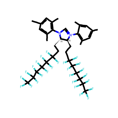 Cc1cc(C)c(N2C=[N+](c3c(C)cc(C)cc3C)[C@@H](CCC(F)(F)C(F)(F)C(F)(F)C(F)(F)C(F)(F)C(F)(F)F)[C@@H]2CCC(F)(F)C(F)(F)C(F)(F)C(F)(F)C(F)(F)C(F)(F)F)c(C)c1